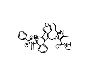 CCCc1nc(C)c(C(=O)NCC)n1Cc1c2ccocc-2c(Br)c1-c1ccccc1C(=O)NS(=O)(=O)c1ccccc1